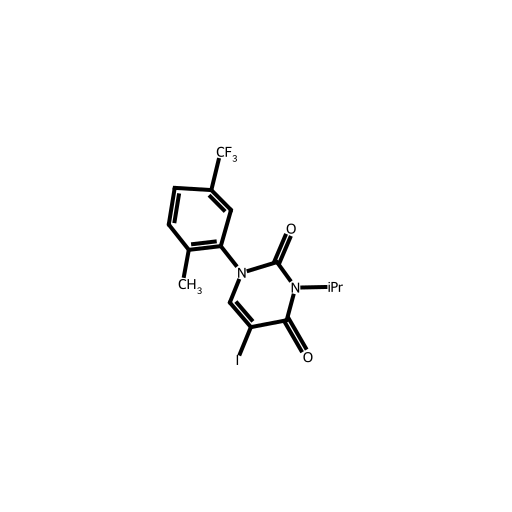 Cc1ccc(C(F)(F)F)cc1-n1cc(I)c(=O)n(C(C)C)c1=O